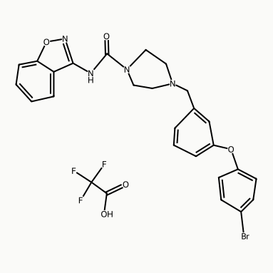 O=C(Nc1noc2ccccc12)N1CCN(Cc2cccc(Oc3ccc(Br)cc3)c2)CC1.O=C(O)C(F)(F)F